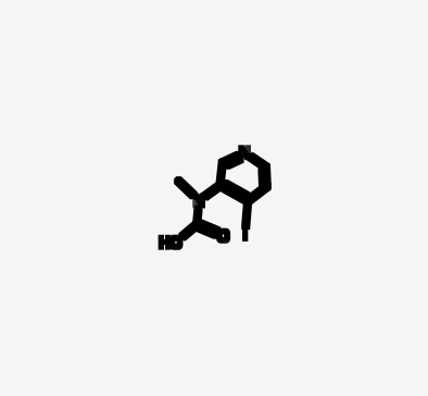 CN(C(=O)O)c1cnccc1I